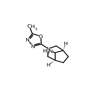 Cc1nnc(N2C[C@H]3CC[C@@H](C2)C3N)o1